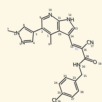 Cc1c(-c2cnn(C)c2)cnc2[nH]cc(/C=C(\C#N)C(=O)NCc3ccc(Cl)cc3)c12